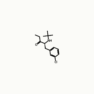 CCC(=O)[C@H](Cc1cccc(Cl)c1)NC(C)(C)C